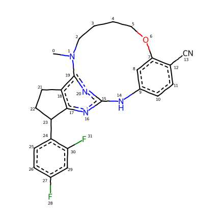 CN1CCCCOc2cc(ccc2C#N)Nc2nc3c(c1n2)CCC3c1ccc(F)cc1F